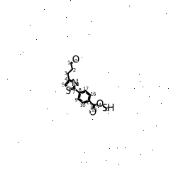 O=CCCc1csc(-c2ccc(C(=O)OS)cc2)n1